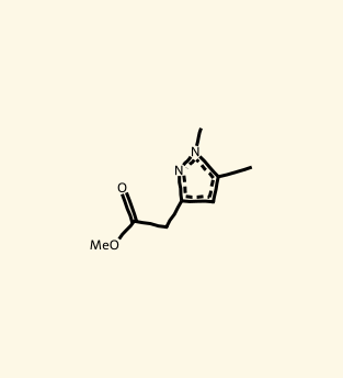 COC(=O)Cc1cc(C)n(C)n1